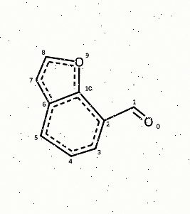 O=Cc1cccc2ccoc12